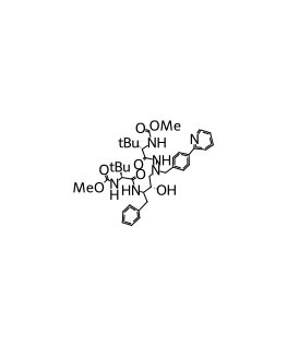 COC(=O)N[C@H](C(=O)NC(Cc1ccccc1)[C@@H](O)CN(Cc1ccc(-c2ccccn2)cc1)NC(=O)[C@@H](NC(=O)OC)C(C)(C)C)C(C)(C)C